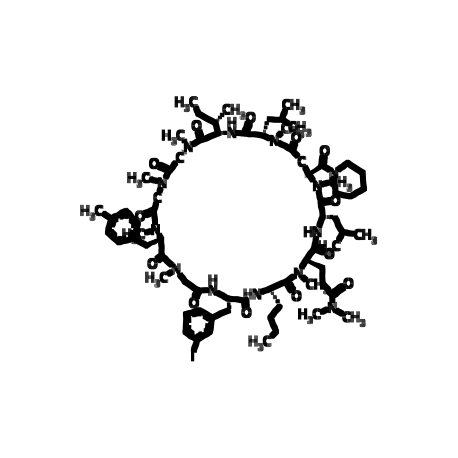 CCCC[C@@H]1NC(=O)[C@H](Cc2cccc(I)c2)NC(=O)CN(C)C(=O)[C@@H](Cc2ccc(C)cc2)N(C)C(=O)CN(C)C(=O)CN(C)C(=O)[C@H]([C@@H](C)CC)NC(=O)[C@H](CC(C)C)N(C)C(=O)C[C@@H](C(=O)N2CCCCC2)N(C)C(=O)[C@H](CC(C)C)NC(=O)[C@@H](CCC(=O)N(C)C)N(C)C1=O